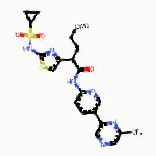 COCCC(C(=O)Nc1ccc(-c2cncc(C(F)(F)F)n2)cn1)c1csc(NS(=O)(=O)C2CC2)n1